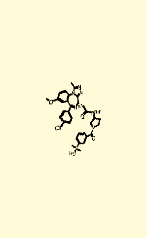 COc1ccc2c(c1)C(c1ccc(Cl)cc1)=N[C@@H](CC(=O)NC1CCN(C(=O)c3cccc([Si](C)(C)O)c3)C1)c1nnc(C)n1-2